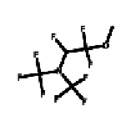 COC(F)(F)C(F)N(C(F)(F)F)C(F)(F)F